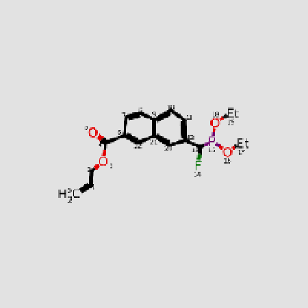 C=CCOC(=O)c1ccc2ccc(C(F)P(OCC)OCC)cc2c1